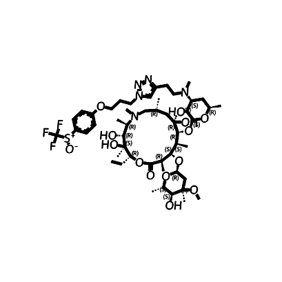 CC[C@H]1OC(=O)[C@H](C)[C@@H](O[C@H]2C[C@@](C)(OC)[C@@H](O)[C@H](C)O2)[C@H](C)[C@@H](O[C@@H]2O[C@H](C)C[C@H](N(C)CCc3cn(CCCOc4ccc([S+]([O-])C(F)(F)F)cc4)nn3)[C@H]2O)[C@](C)(O)C[C@@H](C)CN(C)[C@H](C)[C@@H](O)[C@]1(C)O